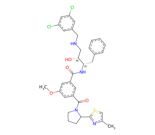 COc1cc(C(=O)N[C@@H](Cc2ccccc2)[C@H](O)CNCc2cc(Cl)cc(Cl)c2)cc(C(=O)N2CCCC2c2nc(C)cs2)c1